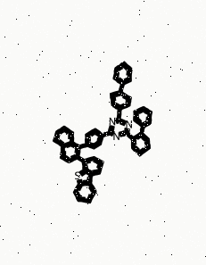 c1ccc(-c2ccc(-c3nc(-c4ccc(-c5c(-c6cccc7c6sc6ccccc67)ccc6ccccc56)cc4)nc(-c4ccccc4-c4ccccc4)n3)cc2)cc1